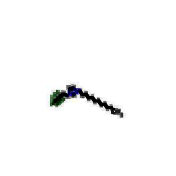 CCCCCCCCCCCC[n+]1ccn(CCC(F)(F)C(F)(F)C(F)(F)F)c1